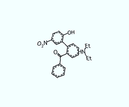 CCNCC.O=C(c1ccccc1)c1ccccc1-c1cc([N+](=O)[O-])ccc1O